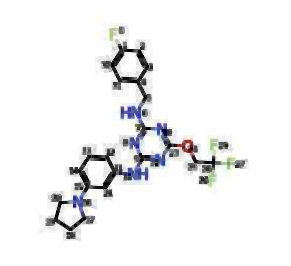 Fc1ccc(CNc2nc(Nc3cccc(N4CCCC4)c3)nc(OCC(F)(F)F)n2)cc1